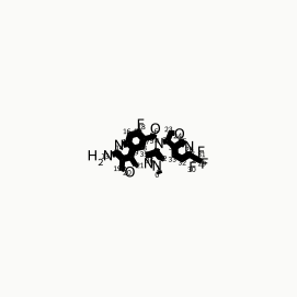 Cn1cc(N(C(=O)c2cc3c4c(c(N)nc3cc2F)COC4)C2COc3nc(C(F)(F)F)ccc32)cn1